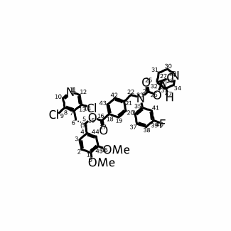 COc1ccc([C@H](Cc2c(Cl)cncc2Cl)OC(=O)c2ccc(CN(C(=O)O[C@H]3CN4CCC3CC4)c3cccc(F)c3)cc2)cc1OC